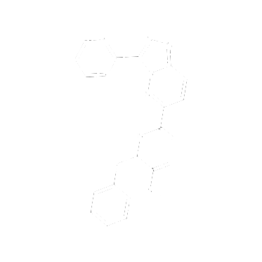 NC(=O)C(Cc1ccccc1)NC(=O)c1ccc2nnc(-c3ncccn3)n2n1